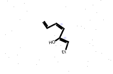 C=C/C=C\C(O)=C\CC